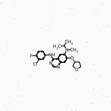 CC(C)N(C)c1cc2c(Nc3ccc(F)c(Cl)c3)ncnc2cc1O[C@H]1CCOC1